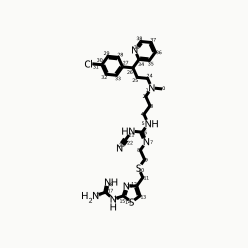 CN(CCCN/C(=N/CCSCc1csc(NC(=N)N)n1)NC#N)CCC(c1ccc(Cl)cc1)c1ccccn1